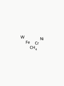 C.[Cr].[Fe].[Ni].[W]